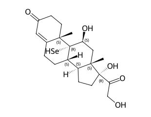 C[C@]12CCC(=O)C=C1CC[C@H]1[C@@H]3CC[C@](O)(C(=O)CO)[C@@]3(C)C[C@H](O)[C@@]12[SeH]